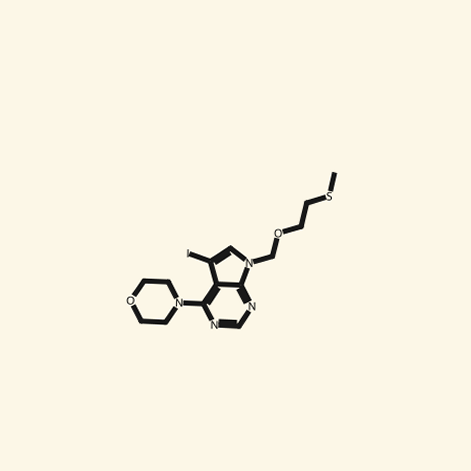 CSCCOCn1cc(I)c2c(N3CCOCC3)ncnc21